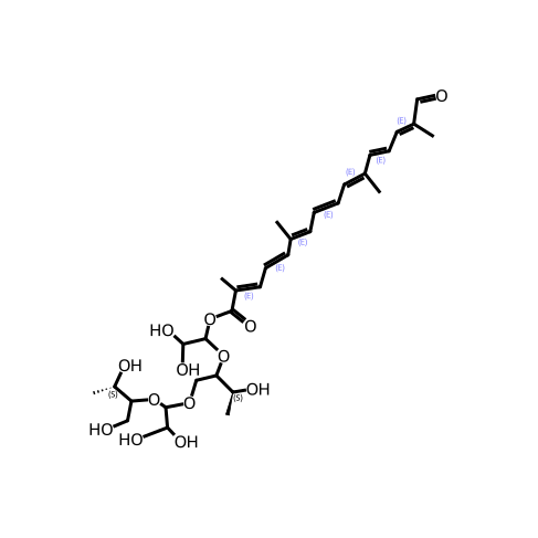 C\C(C=O)=C/C=C/C(C)=C/C=C/C=C(C)/C=C/C=C(\C)C(=O)OC(OC(COC(OC(CO)[C@H](C)O)C(O)O)[C@H](C)O)C(O)O